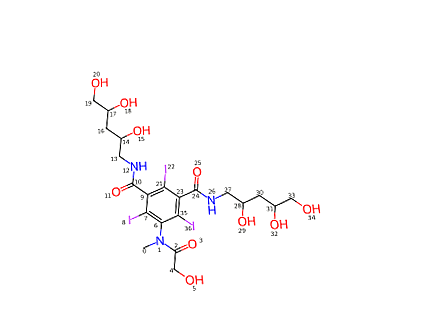 CN(C(=O)CO)c1c(I)c(C(=O)NCC(O)CC(O)CO)c(I)c(C(=O)NCC(O)CC(O)CO)c1I